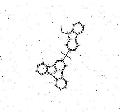 CCn1c2ccccc2c2ccc(C(C)(C)c3cc4c5ccccc5n5c6ccccc6c(c3)c45)cc21